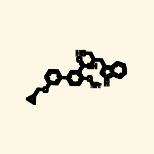 CCCOc1ccc(-c2cccc(OCC3CC3)c2)cc1C(=O)NC(CO)Cc1c[nH]c2ccccc12